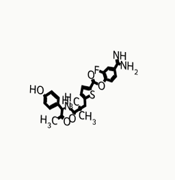 CC(=O)[C@H](NC(=O)C(C)(C)Cc1ccc(C(=O)Oc2ccc(C(=N)N)cc2F)s1)c1ccc(O)cc1